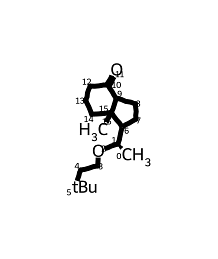 C[C@@H](OCCC(C)(C)C)C1CCC2C(=O)CCCC21C